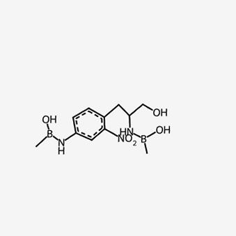 CB(O)Nc1ccc(CC(CO)NB(C)O)c([N+](=O)[O-])c1